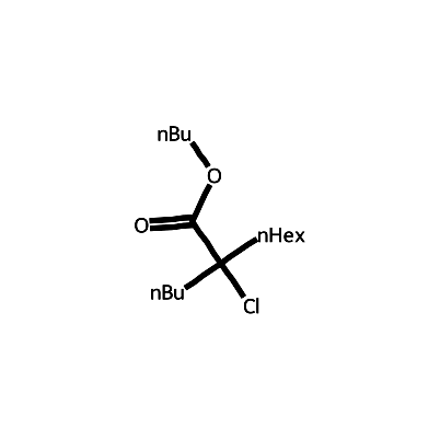 CCCCCCC(Cl)(CCCC)C(=O)OCCCC